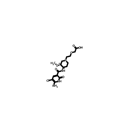 CO[C@H]1CN(CCOCC(=O)O)CC[C@H]1NC(=O)c1cc(Cl)c(N)[nH]c1=O